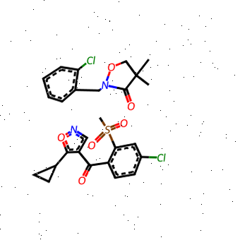 CC1(C)CON(Cc2ccccc2Cl)C1=O.CS(=O)(=O)c1cc(Cl)ccc1C(=O)c1cnoc1C1CC1